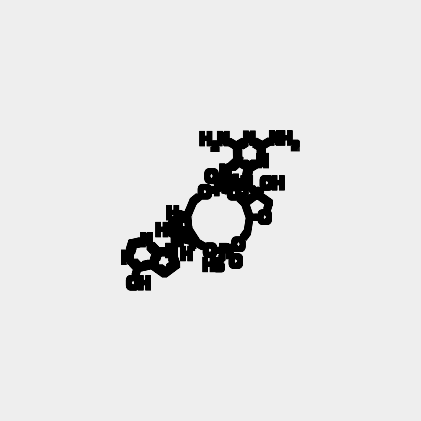 Nc1nc(N)c2ncn([C@]3(O)COC4COP(=O)(S)O[C@@H]5[C@H](O)[C@@H](COP(=O)(S)O[C@H]43)O[C@H]5n3ccc4c(O)ncnc43)c2n1